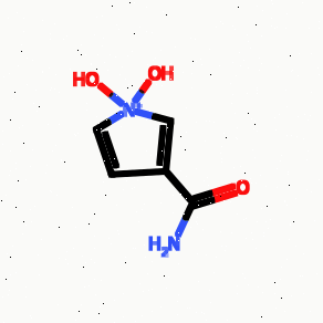 NC(=O)C1=C[N+](O)(O)C=C1